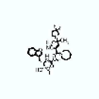 CC(C)(C=C(C#N)C(=O)N1CCCCC[C@@H]1COC(=O)N[C@@H](Cc1coc2ccccc12)B(O)O)N1CCC(F)(F)C1